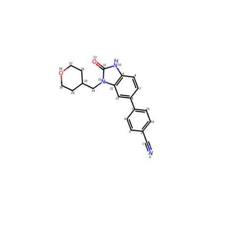 N#Cc1ccc(-c2ccc3[nH]c(=O)n(CC4CCOCC4)c3c2)cc1